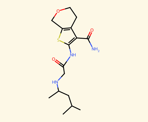 CC(C)CC(C)NCC(=O)Nc1sc2c(c1C(N)=O)CCOC2